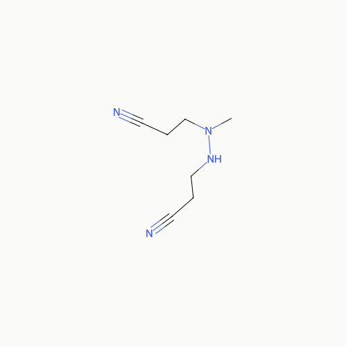 CN(CCC#N)NCCC#N